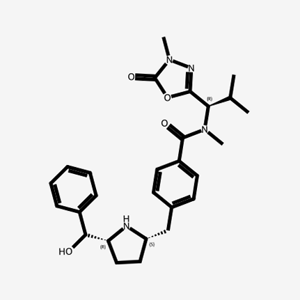 CC(C)[C@H](c1nn(C)c(=O)o1)N(C)C(=O)c1ccc(C[C@@H]2CC[C@H](C(O)c3ccccc3)N2)cc1